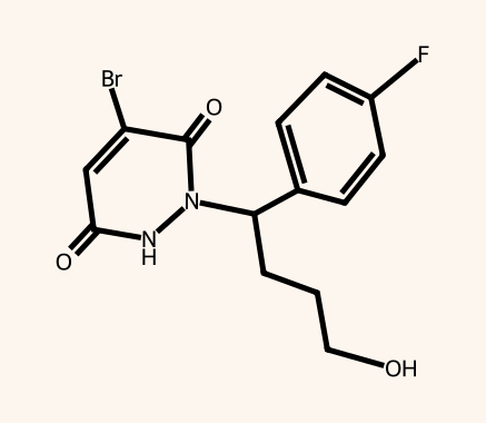 O=c1cc(Br)c(=O)n(C(CCCO)c2ccc(F)cc2)[nH]1